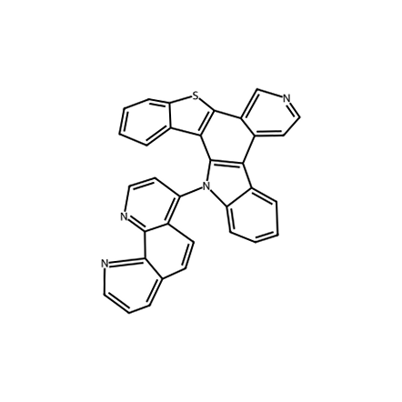 c1cnc2c(c1)ccc1c(-n3c4ccccc4c4c5ccncc5c5sc6ccccc6c5c43)ccnc12